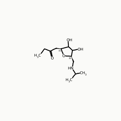 CCC(=O)C[C@@H]1O[C@H](CNC(C)C)C(O)C1O